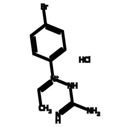 CC=[N+](NC(=N)N)c1ccc(Br)cc1.Cl